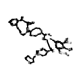 C=C(N[C@H](Cc1cc(C)c(O)c(C)c1)C(=O)N1CCN(C2CCOC2)CC1)N1CCC(N2CCc3ccccc3NC2=O)CC1